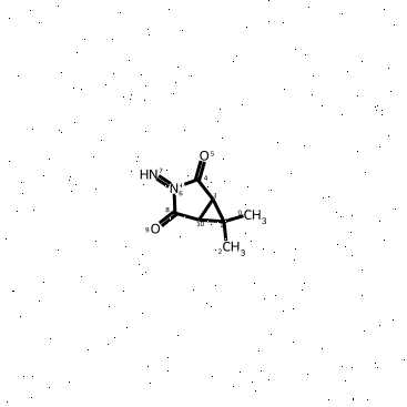 CC1(C)C2C(=O)[N+](=N)C(=O)C21